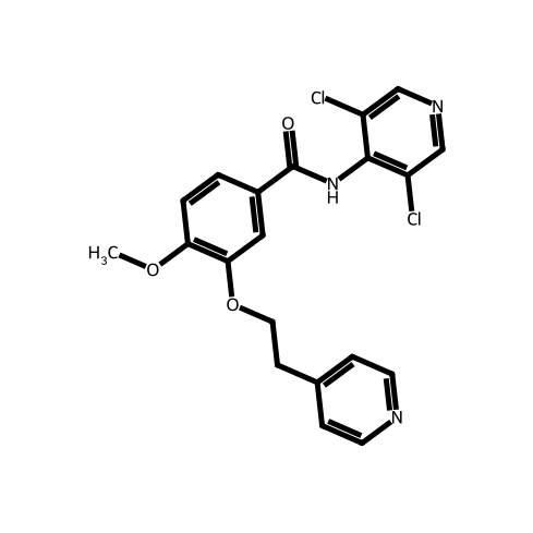 COc1ccc(C(=O)Nc2c(Cl)cncc2Cl)cc1OCCc1ccncc1